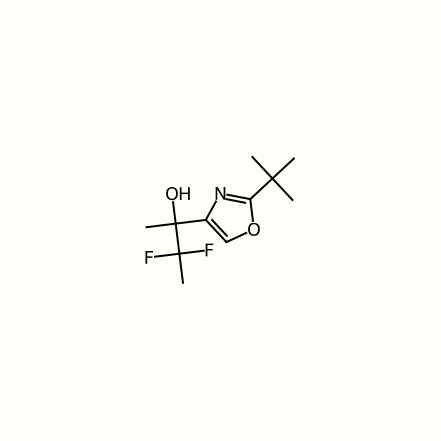 CC(C)(C)c1nc(C(C)(O)C(C)(F)F)co1